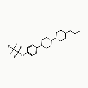 CCC[C@H]1CC[C@H]([C@H]2CC[C@H](c3ccc(OC(F)(F)C(F)(F)F)cc3)CC2)CC1